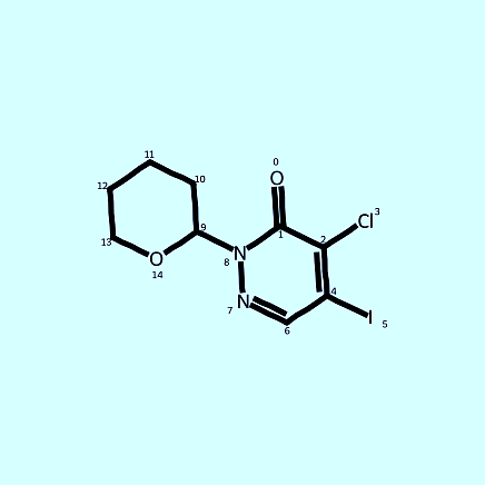 O=c1c(Cl)c(I)cnn1C1CCCCO1